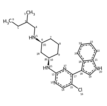 CCC(C)CN[C@H]1CCC[C@@H](Nc2ncc(Cl)c(-c3c[nH]c4ccccc34)n2)C1